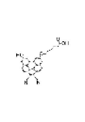 N#Cc1c(C#N)c2ccc3cc(OCCCCCC(=O)O)ccc3c2c2c1ccc1cc(O)ccc12